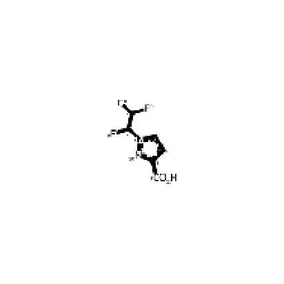 O=C(O)c1ccn(C(F)C(F)F)n1